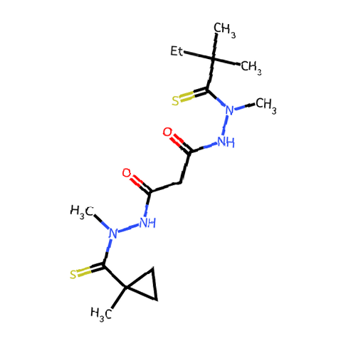 CCC(C)(C)C(=S)N(C)NC(=O)CC(=O)NN(C)C(=S)C1(C)CC1